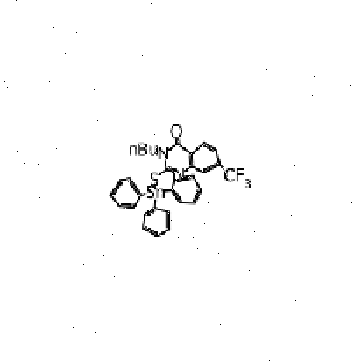 CCCCn1c([S][Sn]([c]2ccccc2)([c]2ccccc2)[c]2ccccc2)nc2cc(C(F)(F)F)ccc2c1=O